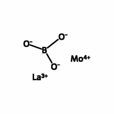 [La+3].[Mo+4].[O-]B([O-])[O-]